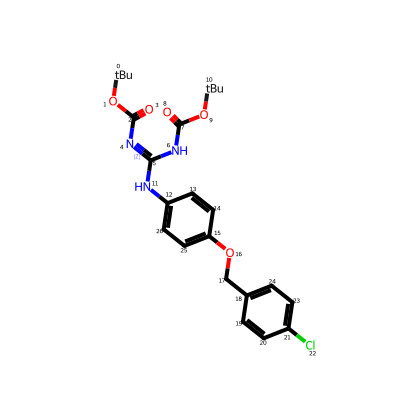 CC(C)(C)OC(=O)/N=C(\NC(=O)OC(C)(C)C)Nc1ccc(OCc2ccc(Cl)cc2)cc1